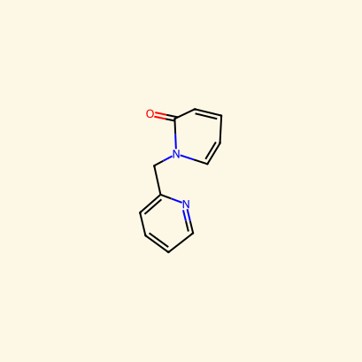 O=c1ccccn1Cc1ccccn1